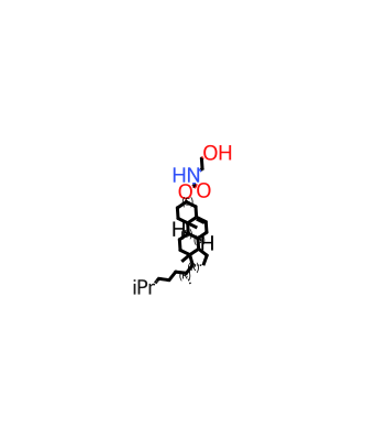 CC(C)CCC[C@@H](C)[C@H]1CCC2[C@@H]3CC=C4C[C@@H](OC(=O)NCCO)CCC4(C)[C@H]3CCC21C